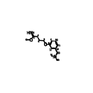 COC(=N)CCCOc1cccc(CN(C)C)c1